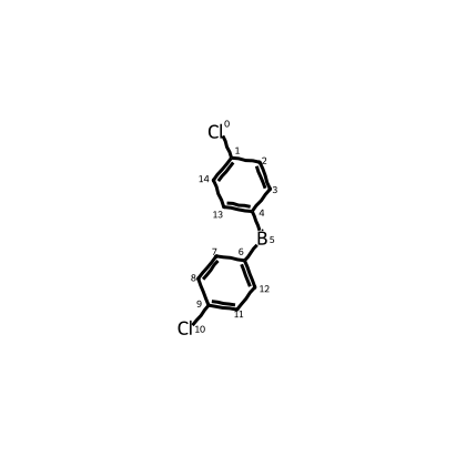 Clc1ccc([B]c2ccc(Cl)cc2)cc1